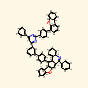 c1ccc(-c2cc(-c3cccc(-c4ccc(-c5c6c(cc7c(-c8ccccc8)nc8ccccc8c57)oc5ccccc56)cc4)c3)nc(-c3ccc(-c4cccc5c4oc4ccccc45)cc3)n2)cc1